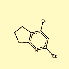 CCc1cc([O])c2c(n1)CCC2